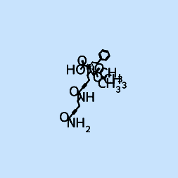 CC(C)(C)OC(=O)N(CCC#CC(=O)NCCC#CC(N)=O)[C@H](CCc1ccccc1)C(=O)O